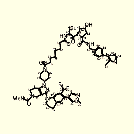 CNC(=O)N1CCc2c(c(N3CCCc4cc(-c5cnn(C)c5)c(C(F)F)cc43)nn2C2CCN(C(=O)CCCCCCC(=O)N[C@H](C(=O)N3C[C@H](O)C[C@H]3C(=O)NCc3ccc(-c4scnc4C)cc3)C(C)(C)C)CC2)C1